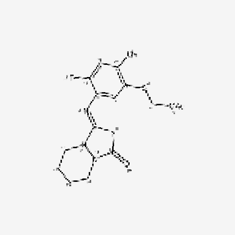 CC(=O)OCSc1cc(N=c2sc(=O)n3n2CCCC3)c(F)cc1Cl